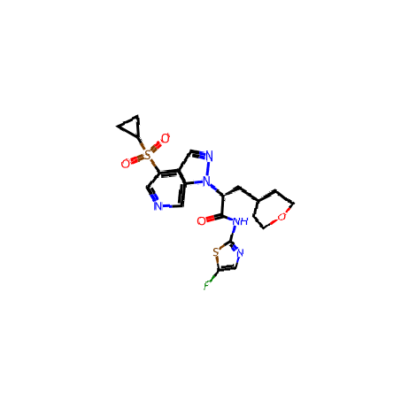 O=C(Nc1ncc(F)s1)[C@H](CC1CCOCC1)n1ncc2c(S(=O)(=O)C3CC3)cncc21